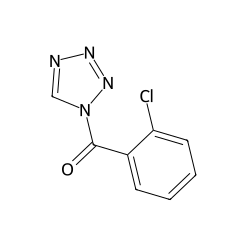 O=C(c1ccccc1Cl)n1cnnn1